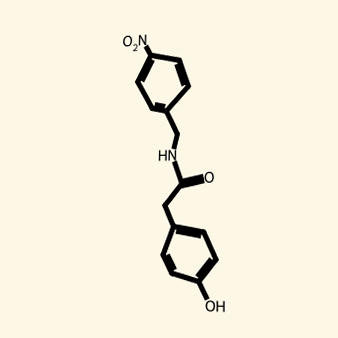 O=C(Cc1ccc(O)cc1)NCc1ccc([N+](=O)[O-])cc1